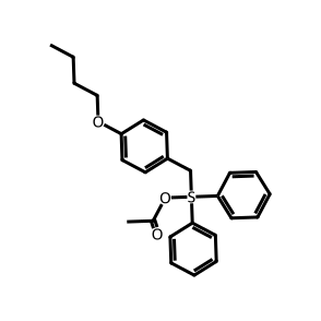 CCCCOc1ccc(CS(OC(C)=O)(c2ccccc2)c2ccccc2)cc1